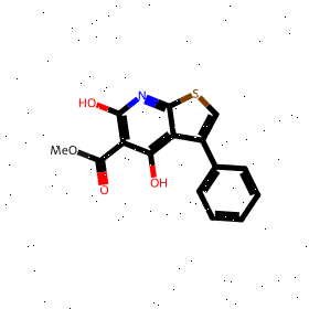 COC(=O)c1c(O)nc2scc(-c3ccccc3)c2c1O